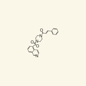 O=C(C=Cc1ccccc1)N1CCN(S(=O)(=O)c2cccc3cnccc23)CC1